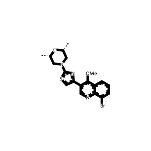 COc1c(-c2csc(N3C[C@@H](C)O[C@@H](C)C3)n2)cnc2c(Br)cccc12